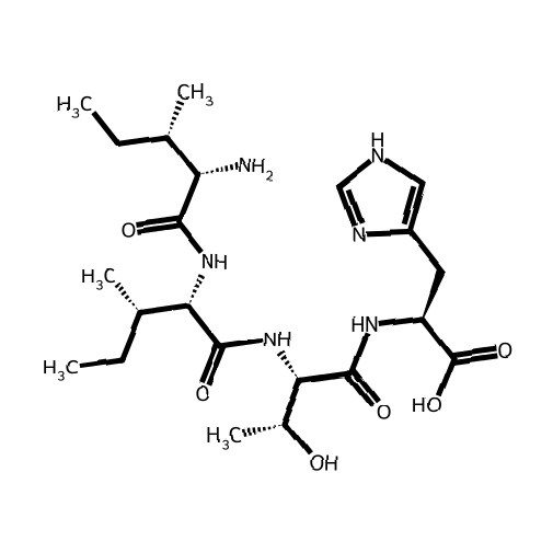 CC[C@H](C)[C@H](N)C(=O)N[C@H](C(=O)N[C@H](C(=O)N[C@@H](Cc1c[nH]cn1)C(=O)O)[C@@H](C)O)[C@@H](C)CC